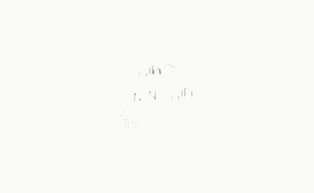 CC(C)OCCN(CCOC(C)C)CN(CCOC(C)C)CCOC(C)C